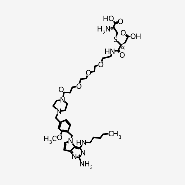 CCCCCNc1nc(N)nc2ccn(Cc3ccc(CN4CCN(C(=O)CCOCCOCCOCCNC(=O)[C@H](CC(=O)O)SC[C@H](N)C(=O)O)CC4)cc3OC)c12